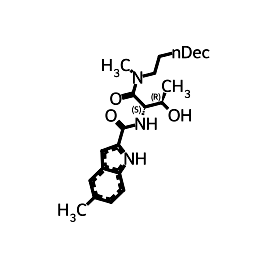 CCCCCCCCCCCCN(C)C(=O)[C@@H](NC(=O)c1cc2cc(C)ccc2[nH]1)[C@@H](C)O